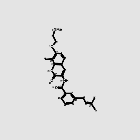 CNCCOc1ccc2cc(NC(=O)c3cc[c]c(CC=C(C)C)c3)c(=O)oc2c1C